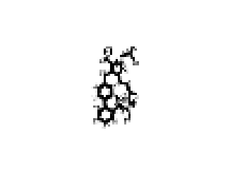 CCCCc1nn(CC(C)C)c(C=O)c1Cc1ccc(-c2ccccc2-c2nnn[nH]2)cc1